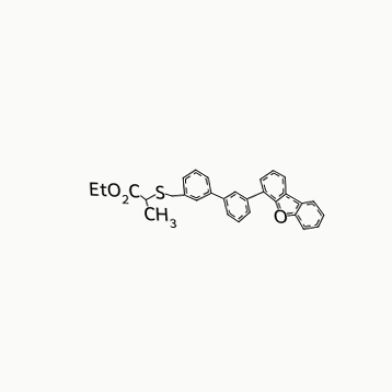 CCOC(=O)C(C)SCc1cccc(-c2cccc(-c3cccc4c3oc3ccccc34)c2)c1